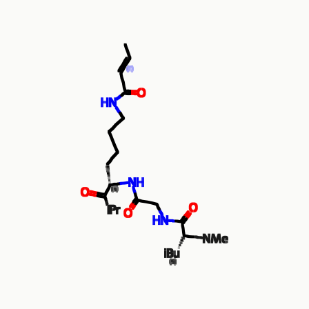 C/C=C/C(=O)NCCCC[C@H](NC(=O)CNC(=O)C(NC)[C@@H](C)CC)C(=O)C(C)C